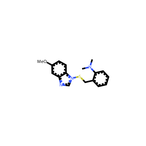 COc1ccc2c(c1)ncn2SCc1ccccc1N(C)C